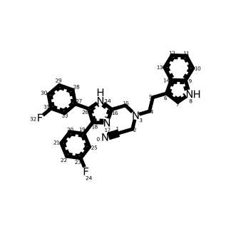 N#CCN(CCc1c[nH]c2ccccc12)Cc1nc(-c2cccc(F)c2)c(-c2cccc(F)c2)[nH]1